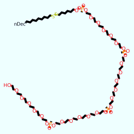 CCCCCCCCCCCCCCCCCCCSSCCCCCCOOP(C)(=O)OCCOCCOCCOCCOCCOCCOP(C)(=O)OCCOCCOCCOCCOCCOCCOP(C)(=O)OCCOCCOCCOCCOCCOCCOP(C)(=O)OCCOCCOCCOCCOCCOCCO